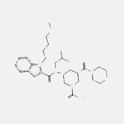 COCCCCn1c(C(=O)N(CC(C)C)[C@H]2C[C@@H](C(=O)N3CCOCC3)CN(C(=O)O)C2)cc2ccccc21